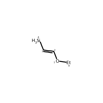 CCOC=C[SiH3]